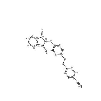 N#Cc1ccc(CCc2ccc(CN3C(=O)c4ccccc4C3=O)cc2)cc1